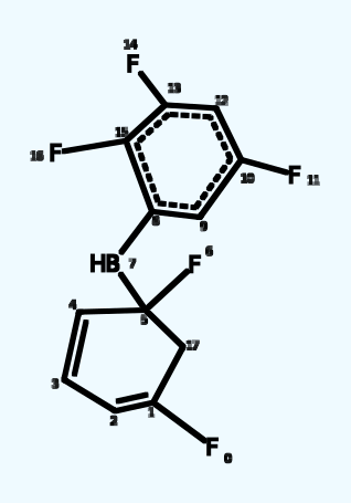 FC1=CC=CC(F)(Bc2cc(F)cc(F)c2F)C1